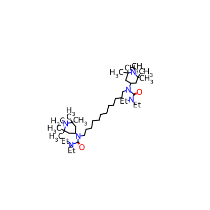 CCN(CC)C(=O)N(CCCCCCCCCCCCN(C(=O)N(CC)CC)C1CC(C)(C)N(C)C(C)(C)C1)C1CC(C)(C)N(C)C(C)(C)C1